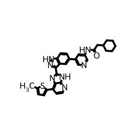 Cc1ccc(-c2ccnc3[nH]c(-c4n[nH]c5ccc(-c6cncc(NC(=O)CC7CCCCC7)c6)cc45)nc23)s1